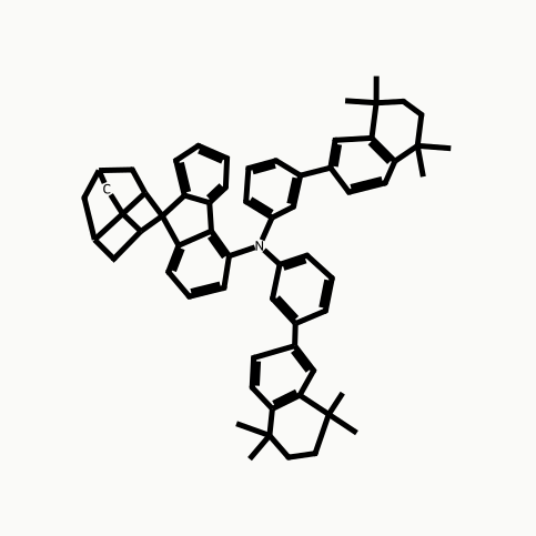 CC1(C)CCC(C)(C)c2cc(-c3cccc(N(c4cccc(-c5ccc6c(c5)C(C)(C)CCC6(C)C)c4)c4cccc5c4-c4ccccc4C54C5CC6CC7CC4C75C6)c3)ccc21